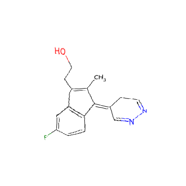 CC1=C(CCO)c2cc(F)ccc2/C1=C1\C=NN=CC1